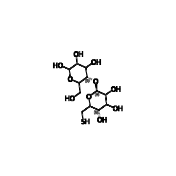 OCC1OC(O)C(O)C(O)[C@@H]1O[C@@H]1OC(CS)[C@@H](O)C(O)C1O